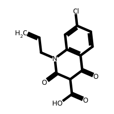 C=CCN1C(=O)C(C(=O)O)C(=O)c2ccc(Cl)cc21